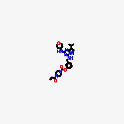 C=CC(=O)N1CCN(C(=O)Oc2cccc(CNc3nc(NC4CCOCC4)nc4c(C(C)C)cnn34)c2)CC1